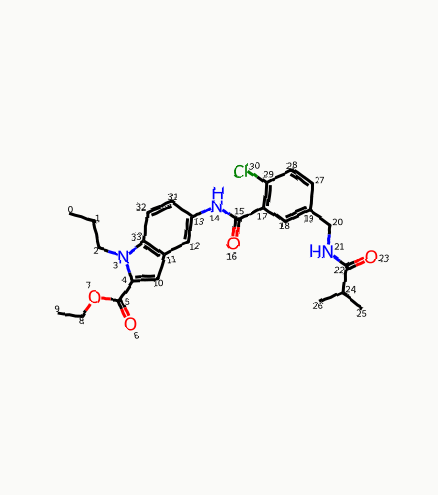 CCCn1c(C(=O)OCC)cc2cc(NC(=O)c3cc(CNC(=O)C(C)C)ccc3Cl)ccc21